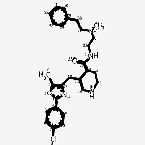 Cc1oc(-c2ccc(Cl)cc2)nc1CC1CNCCC1C(=O)NCCN(C)CCc1ccccc1